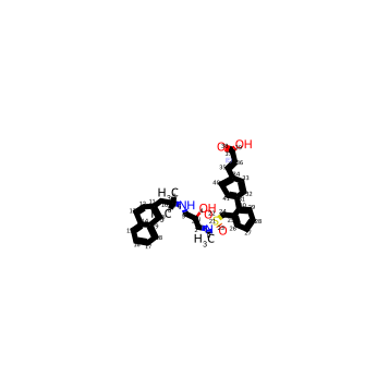 CN(C[C@H](O)CNC(C)(C)Cc1ccc2ccccc2c1)S(=O)(=O)Cc1ccccc1-c1ccc(/C=C/C(=O)O)cc1